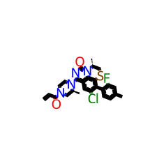 C=CC(=O)N1CCN(c2nc(=O)n3c4c(c(-c5ccc(C)cc5F)c(Cl)cc24)SC[C@H]3C)[C@@H](C)C1